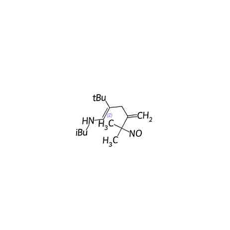 C=C(C/C(=C/NC(C)CC)C(C)(C)C)C(C)(C)N=O